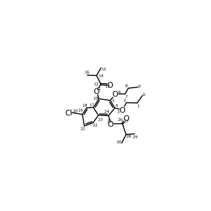 CCCOc1c(OCCC)c(OC(=O)C(C)C)c2cc(Cl)ccc2c1OC(=O)C(C)C